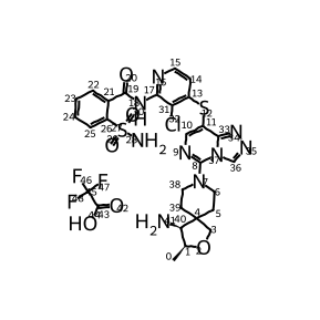 C[C@@H]1OCC2(CCN(c3ncc(Sc4ccnc(NC(=O)c5ccccc5S(N)(=O)=O)c4Cl)c4nncn34)CC2)[C@@H]1N.O=C(O)C(F)(F)F